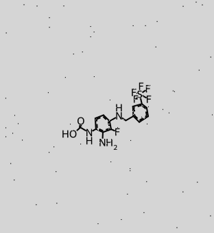 Nc1c(NC(=O)O)ccc(NCc2cccc(S(F)(F)(F)(F)F)c2)c1F